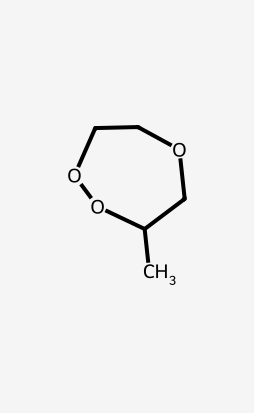 CC1COCCOO1